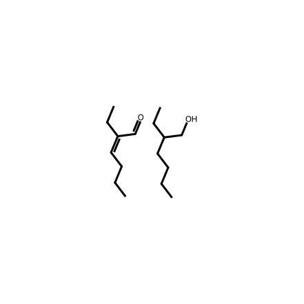 CCCC=C(C=O)CC.CCCCC(CC)CO